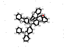 c1ccc(-n2c3ccccc3c3ccc(N(c4ccc5c(c4)C4(c6ccccc6Oc6ccccc64)c4cccc6cccc-5c46)c4ccc5c(c4)oc4ccccc45)cc32)cc1